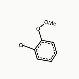 COOc1ccccc1Cl